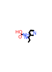 CC/C(=N/NC(=O)O)c1cccnc1